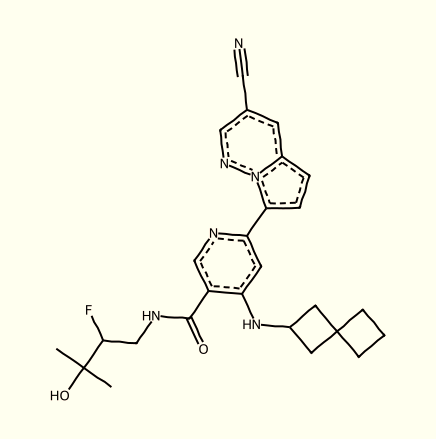 CC(C)(O)C(F)CNC(=O)c1cnc(-c2ccc3cc(C#N)cnn23)cc1NC1CC2(CCC2)C1